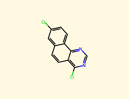 Clc1ccc2c(ccc3c(Cl)ncnc32)c1